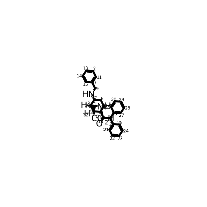 O=C(O)[C@H]1[C@@H]2CC[C@@H](CC2NCc2ccccc2)N1C(=O)C(c1ccccc1)c1ccccc1